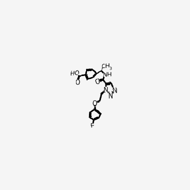 C[C@H](NC(=O)c1cnnn1CCOc1ccc(F)cc1)c1ccc(C(=O)O)cc1